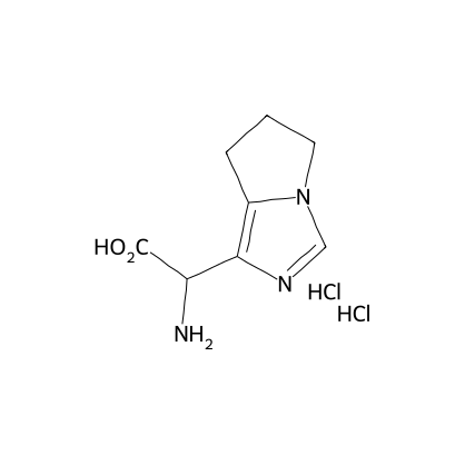 Cl.Cl.NC(C(=O)O)c1ncn2c1CCC2